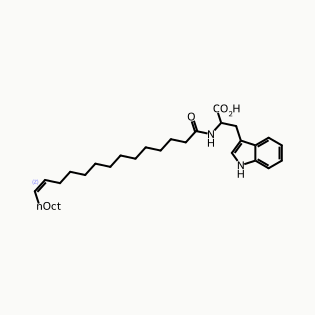 CCCCCCCC/C=C\CCCCCCCCCCCC(=O)NC(Cc1c[nH]c2ccccc12)C(=O)O